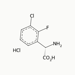 Cl.N[C@H](C(=O)O)c1cccc(Cl)c1F